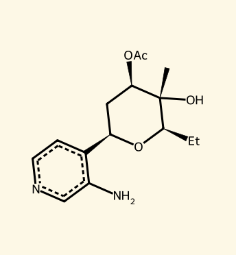 CC[C@H]1O[C@@H](c2ccncc2N)C[C@@H](OC(C)=O)[C@]1(C)O